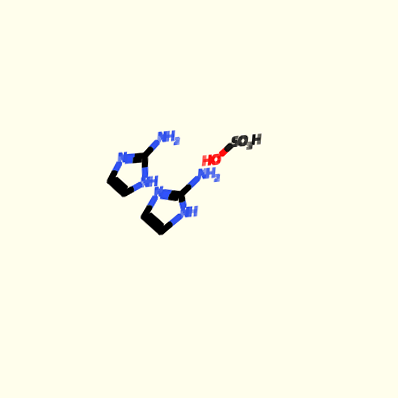 Nc1ncc[nH]1.Nc1ncc[nH]1.O=S(=O)(O)O